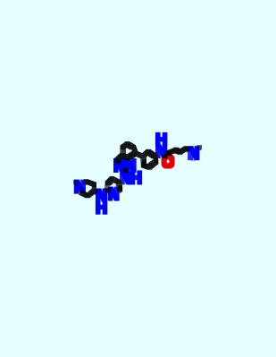 CN(C)CC=CC(=O)Nc1cccc(-c2cccc3cnc(Nc4ccc(NC5CCN(C)CC5)nc4)nc23)c1